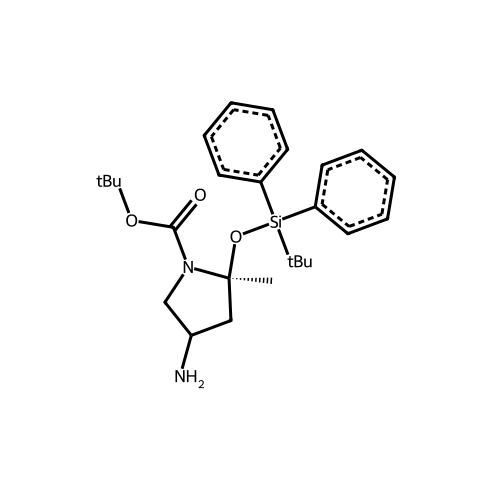 CC(C)(C)OC(=O)N1CC(N)C[C@]1(C)O[Si](c1ccccc1)(c1ccccc1)C(C)(C)C